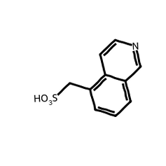 O=S(=O)(O)Cc1cccc2cnccc12